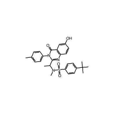 Cc1ccc(-n2c(C(C)N(C)S(=O)(=O)c3ccc(C(C)(C)C)cc3)nc3ccc(O)cc3c2=O)cc1